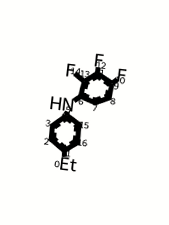 CCc1ccc(Nc2ccc(F)c(F)c2F)cc1